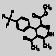 COC(=O)C1=NNC(C)=C(C(C)=O)C1c1ccc(C(F)(F)F)cc1